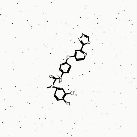 CN(C(=O)Nc1ccc(Oc2ccnc(-c3nnco3)c2)cc1)c1ccc(Cl)c(C(F)(F)F)c1